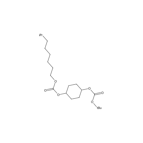 CC(C)CCCCCCOC(=O)OC1CCC(OC(=O)OC(C)(C)C)CC1